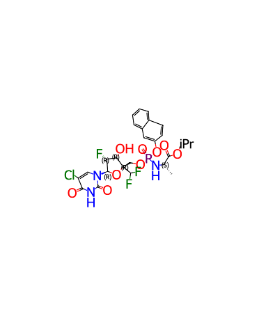 CC(C)OC(=O)[C@H](C)NP(=O)(OC[C@@]1(C(F)F)O[C@@H](n2cc(Cl)c(=O)[nH]c2=O)[C@H](F)[C@@H]1O)Oc1ccc2ccccc2c1